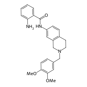 COc1ccc(CN2CCc3ccc(NC(=O)c4ccccc4N)cc3C2)cc1OC